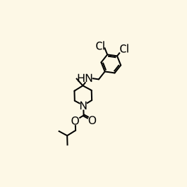 CC(C)COC(=O)N1CCC(C)(NCc2ccc(Cl)c(Cl)c2)CC1